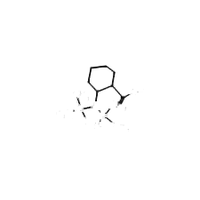 C[Si](C)(C)N(C1CCCCC1C(O)=S)[Si](C)(C)C